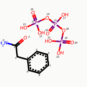 NC(=O)Cc1ccccc1.O=P(O)(O)OP(=O)(O)OP(=O)(O)O